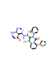 C[C@H](Nc1ncnc2[nH]ccc(=O)c12)c1c(Cl)c2cccc(C3=CCCC3)c2c(=O)n1-c1ccccc1